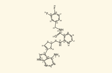 Nc1ncnc2[nH]cc(C3=CCC(CNc4ncccc4C(=O)NCc4ccc(F)c(F)c4)S3)c12